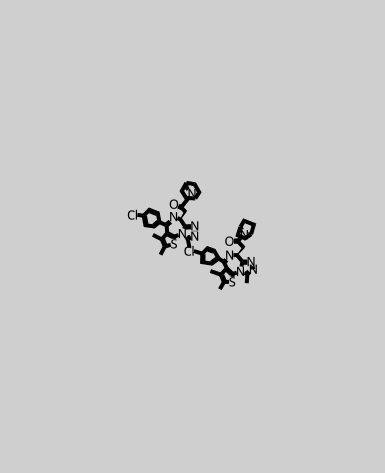 Cc1sc2c(c1C)C(c1ccc(Cl)cc1)=N[C@@H](CC(=O)N1C3CCC1CC3)c1nnc(C)n1-2.Cc1sc2c(c1C)C(c1ccc(Cl)cc1)=N[C@@H](CC(=O)N1CC3CCC1CC3)c1nnc(C)n1-2